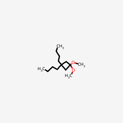 CCCCC1(CCCC)CC(OC)(OC)C1